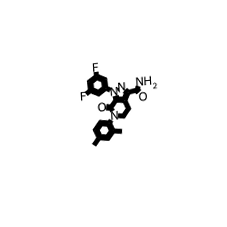 Cc1ccc(N2CCc3c(C(N)=O)nn(-c4cc(F)cc(F)c4)c3C2=O)c(C)c1